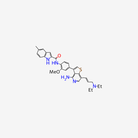 CCN(CC)CC=Cc1cnc(N)c2c(-c3ccc(NC(=O)c4cc5cc(C)ccc5[nH]4)c(OC)c3)csc12